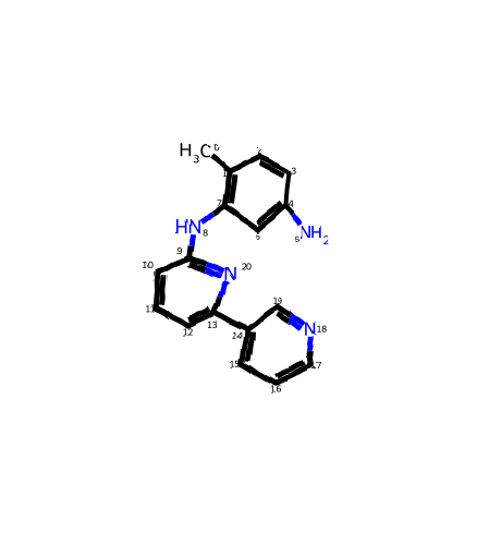 Cc1ccc(N)cc1Nc1cccc(-c2cccnc2)n1